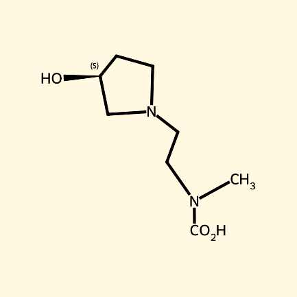 CN(CCN1CC[C@H](O)C1)C(=O)O